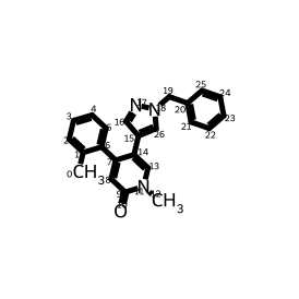 Cc1ccccc1-c1cc(=O)n(C)cc1-c1cnn(Cc2ccccc2)c1